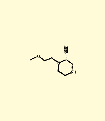 C#C[C@@H]1CNCCN1CCOC